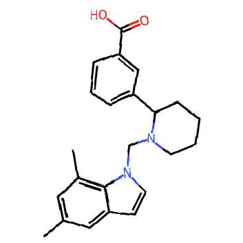 Cc1cc(C)c2c(ccn2CN2CCCCC2c2cccc(C(=O)O)c2)c1